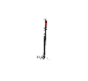 C[Si](C)(Cl)CCCCCCCCCCCCCCCCCCCCCCCCCCCCCCCCCCCBr